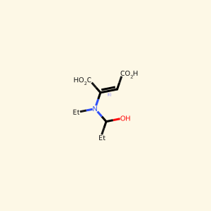 CCC(O)N(CC)/C(=C/C(=O)O)C(=O)O